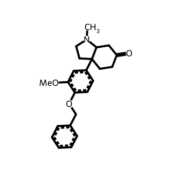 COc1cc(C23CCC(=O)CC2N(C)CC3)ccc1OCc1ccccc1